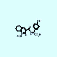 CCCCn1c2c(cc(C(=O)N[C@@H](C(=O)O)c3ccc(O)cc3)c1=O)CCCC2